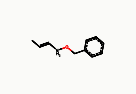 CC=C[SiH2]OCc1ccccc1